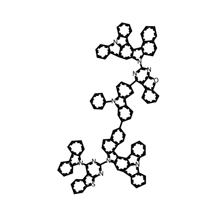 c1ccc(-n2c3ccc(-c4nc(-n5c6ccc7ccccc7c6c6c7c8ccccc8n8c9ccccc9c(cc65)c78)nc5oc6ccccc6c45)cc3c3ccc(-c4ccc5c(ccc6c5c5c7c8ccccc8n8c9ccccc9c(cc5n6-c5nc(-n6c9ccccc9c9ccccc96)c6c(n5)sc5ccccc56)c78)c4)cc32)cc1